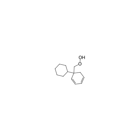 OOCC1(C2CCCCC2)C=CC=CC1